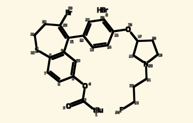 Br.CC(C)(C)C(=O)Oc1ccc2c(c1)C(c1ccc(OC3CCN(CCCF)C3)cc1)=C(Br)CCS2